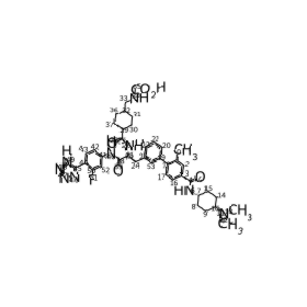 Cc1cc(C(=O)N[C@H]2CC[C@H](N(C)C)CC2)ccc1-c1cccc(C[C@H](NC(=O)C2CCC(CNC(=O)O)CC2)C(=O)Nc2ccc(-c3nnn[nH]3)c(F)c2)c1